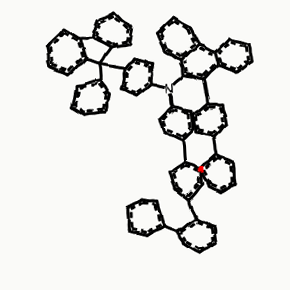 c1ccc(-c2ccc(-c3c(N(c4ccc(-c5ccc(-c6ccccc6-c6ccccc6)cc5)cc4)c4ccc(C5(c6ccccc6)c6ccccc6-c6ccccc65)cc4)c4ccccc4c4ccccc34)cc2)cc1